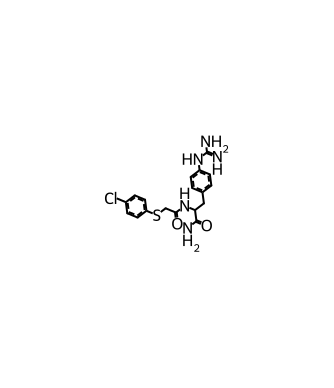 N=C(N)Nc1ccc(CC(NC(=O)CSc2ccc(Cl)cc2)C(N)=O)cc1